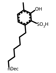 CCCCCCCCCCCCCCCCc1ccc(C)c(O)c1S(=O)(=O)O